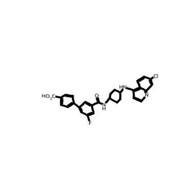 O=C(O)c1ccc(-c2cc(F)cc(C(=O)NC3CCC(Nc4ccnc5cc(Cl)ccc45)CC3)c2)cc1